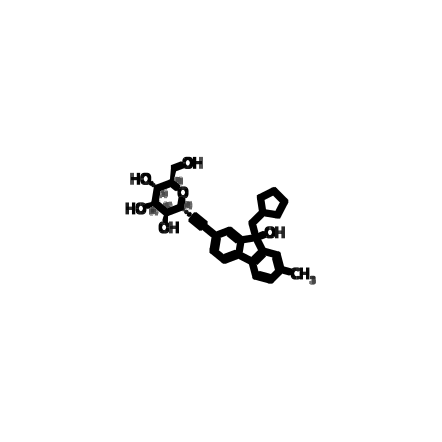 Cc1ccc2c(c1)C(O)(CC1CCCC1)c1cc(C#C[C@H]3O[C@H](CO)[C@@H](O)[C@H](O)[C@@H]3O)ccc1-2